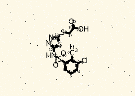 Cc1c(Cl)cccc1S(=O)(=O)Nc1nnc(SCC(=O)O)s1